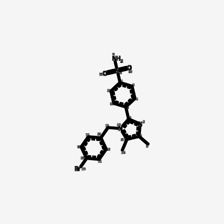 Cc1nc(-c2ccc(S(N)(=O)=O)cc2)n(Cc2ccc(Br)cc2)c1C